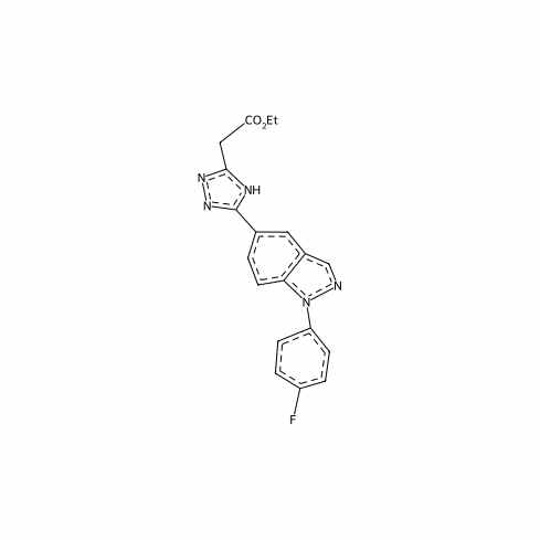 CCOC(=O)Cc1nnc(-c2ccc3c(cnn3-c3ccc(F)cc3)c2)[nH]1